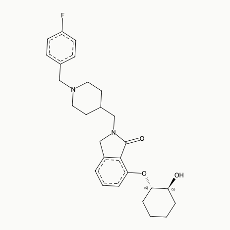 O=C1c2c(cccc2O[C@H]2CCCC[C@@H]2O)CN1CC1CCN(Cc2ccc(F)cc2)CC1